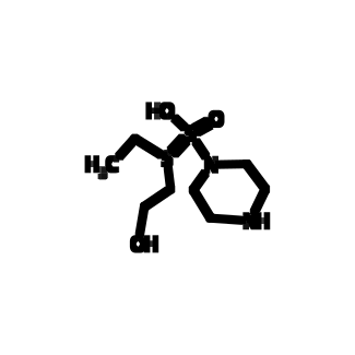 CCS(CCO)=S(=O)(O)N1CCNCC1